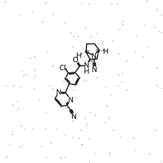 N#Cc1ccnc(-c2ccc(C(=O)N[C@@H]3C[C@@H]4CC[C@H]3N4C#N)c(Cl)c2)n1